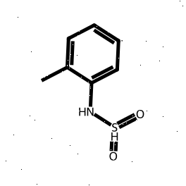 Cc1cc[c]cc1N[SH](=O)=O